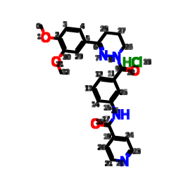 COc1ccc(C2=NN(C(=O)c3cccc(NC(=O)c4ccncc4)c3)CCC2)cc1OC.Cl